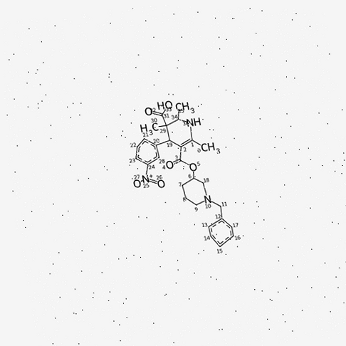 CC1=C(C(=O)OC2CCCN(Cc3ccccc3)C2)C(c2cccc([N+](=O)[O-])c2)C(C)(C(=O)O)C(C)N1